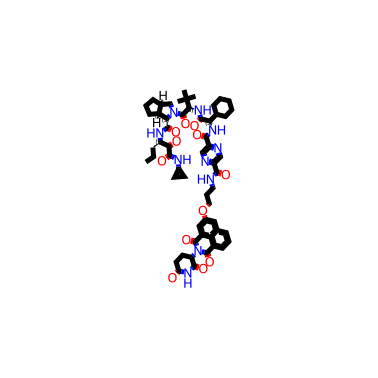 CCC[C@H](NC(=O)[C@@H]1[C@H]2CCC[C@H]2CN1C(=O)[C@@H](NC(=O)[C@@H](NC(=O)c1cnc(C(=O)NCCCOc2cc3c4c(cccc4c2)C(=O)N(C2CCC(=O)NC2=O)C3=O)cn1)C1CCCCC1)C(C)(C)C)C(=O)C(=O)NC1CC1